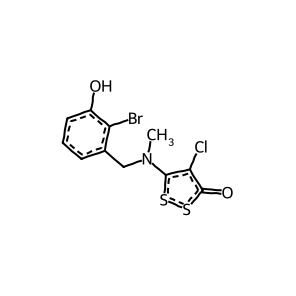 CN(Cc1cccc(O)c1Br)c1ssc(=O)c1Cl